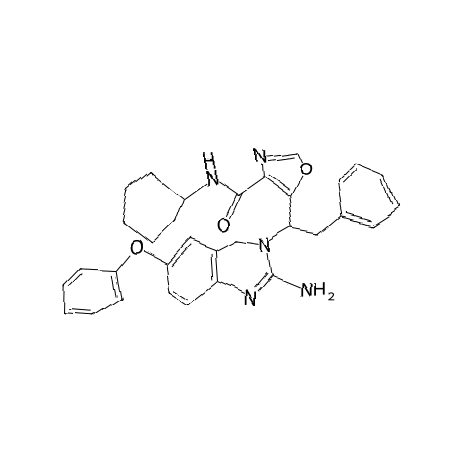 NC1=Nc2ccc(Oc3ccccc3)cc2CN1C(Cc1ccccc1)c1ocnc1C(=O)NC1CCCCC1